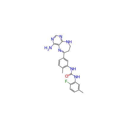 Cc1ccc(F)c(NC(=O)Nc2cc(C3=Nc4c(N)ncnc4NCC3)ccc2C)c1